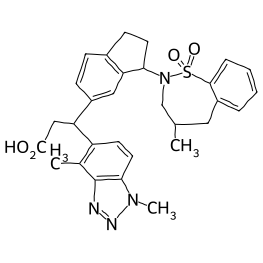 Cc1c(C(CC(=O)O)c2ccc3c(c2)C(N2CC(C)Cc4ccccc4S2(=O)=O)CC3)ccc2c1nnn2C